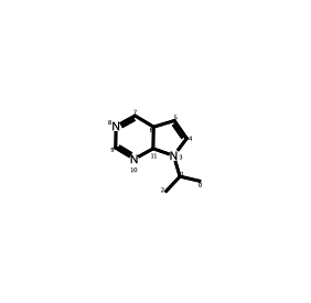 CC(C)N1C=CC2C=NC=NC21